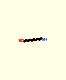 [NH]CCCCCCCCCCO